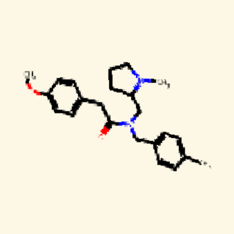 COc1ccc(CC(=O)N(Cc2ccc(C)cc2)CC2CCCN2C)cc1